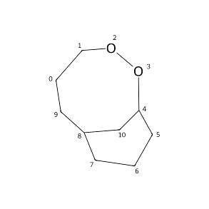 C1COOC2CCCC(C1)C2